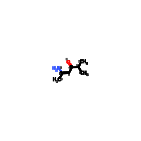 CC(N)=CC(=O)C(C)C